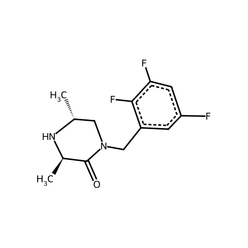 C[C@@H]1CN(Cc2cc(F)cc(F)c2F)C(=O)[C@@H](C)N1